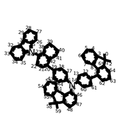 CC1(C)c2ccccc2-c2c(-c3ccc(N(c4ccc(-c5ccc(-n6c7ccccc7c7ccccc76)c6ccccc56)cc4)c4cccc5c4-c4ccccc4C5(C)C)cc3)cccc21